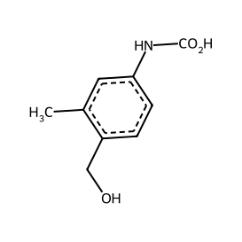 Cc1cc(NC(=O)O)ccc1CO